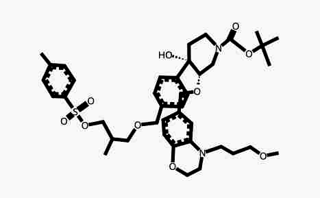 COCCCN1CCOc2ccc(CO[C@H]3CN(C(=O)OC(C)(C)C)CC[C@]3(O)c3ccc(COCC(C)COS(=O)(=O)c4ccc(C)cc4)cc3)cc21